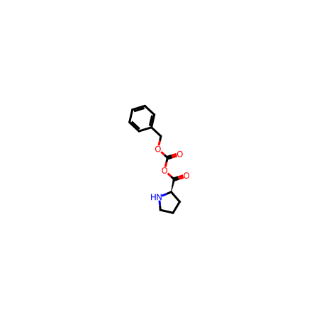 O=C(OCc1ccccc1)OC(=O)[C@H]1CCCN1